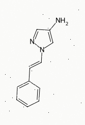 Nc1cnn(C=Cc2ccccc2)c1